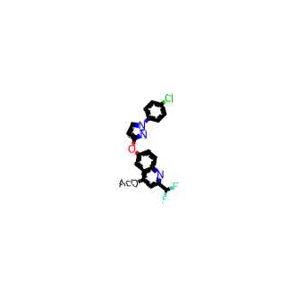 CC(=O)Oc1cc(C(F)F)nc2ccc(Oc3ccn(-c4ccc(Cl)cc4)n3)cc12